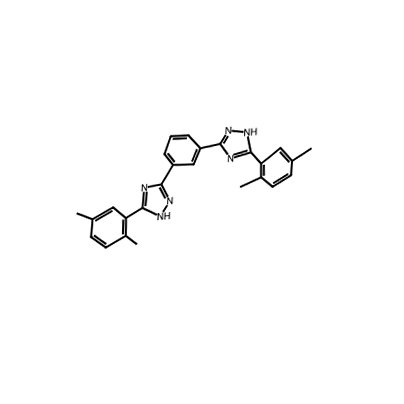 Cc1ccc(C)c(-c2nc(-c3cccc(-c4n[nH]c(-c5cc(C)ccc5C)n4)c3)n[nH]2)c1